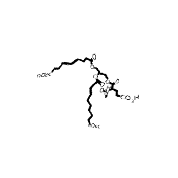 CCCCCCCCCCCCCCCCCC(=O)OCC(COC(=O)C(CCC(=O)O)[NH+](C)[O-])OC(=O)CCCCCCCCCCCCCCCCC